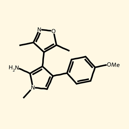 COc1ccc(-c2cn(C)c(N)c2-c2c(C)noc2C)cc1